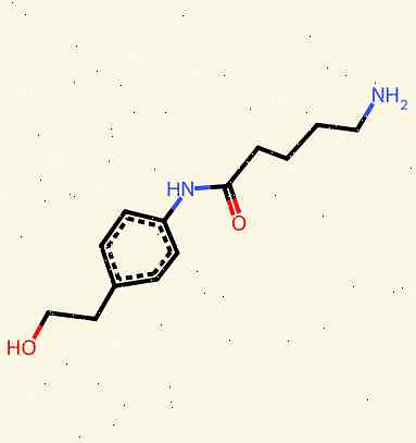 NCCCCC(=O)Nc1ccc(CCO)cc1